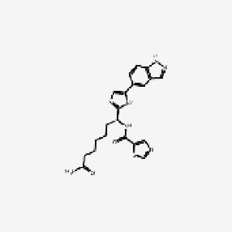 NC(=O)CCCCC[C@H](NC(=O)c1cncs1)c1ncc(-c2ccc3[nH]ncc3c2)[nH]1